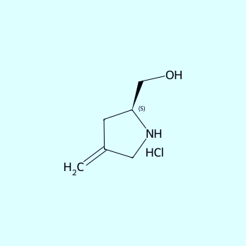 C=C1CN[C@H](CO)C1.Cl